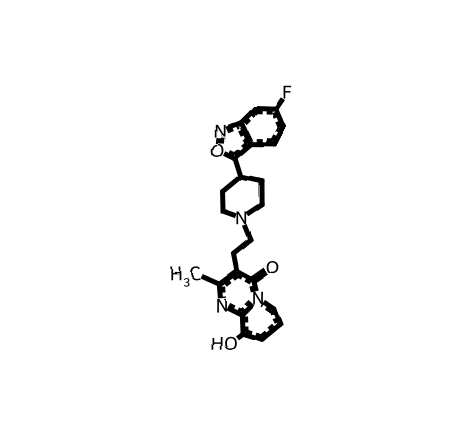 Cc1nc2c(O)cccn2c(=O)c1CCN1CCC(c2onc3cc(F)ccc23)CC1